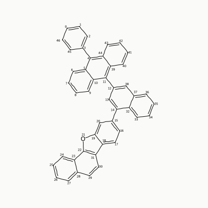 c1ccc(-c2c3ccccc3c(-c3cc(-c4ccc5c(c4)oc4c6ccccc6ccc54)c4ccccc4c3)c3ccccc23)cc1